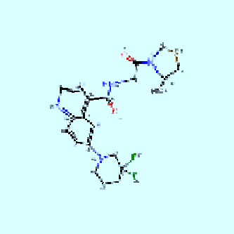 N#C[C@@H]1CSCN1C(=O)CNC(=O)c1ccnc2ccc(N3CCCC(F)(F)C3)cc12